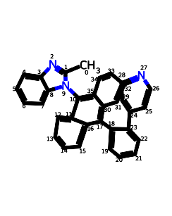 Cc1nc2ccccc2n1-c1c2ccccc2c(-c2ccccc2-c2ccncc2)c2ccccc12